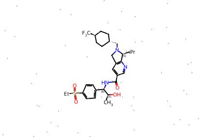 CCS(=O)(=O)c1ccc([C@@H](NC(=O)c2cnc3c(c2)CN(C[C@H]2CC[C@H](C(F)(F)F)CC2)[C@H]3C(C)C)[C@H](C)O)cc1